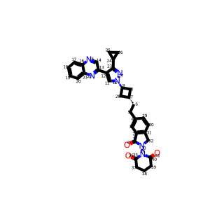 O=C1c2cc(CC[C@H]3C[C@H](n4cc(-c5cnc6ccccc6n5)c(C5CC5)n4)C3)ccc2CN1N1C(=O)CCCC1=O